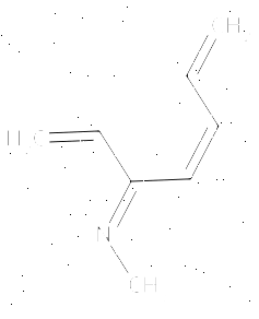 C=C/C=C\C(C=C)=N/C